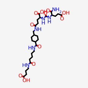 NC(=O)C(CCC(=O)O)NC(=O)NC(CCC(=O)NCC1CCC(C(=O)NCCCCC(=O)NCCCC(=O)O)CC1)C(=O)O